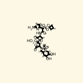 Nc1nc(/C(=N/OC2(C(=O)O)CCC2)C(=O)N[C@H]2CON(C3(C(=O)O)CC(N4C=C5C=C(O)C(O)=CN5S4(=O)=O)C(=O)O3)C2=O)cs1